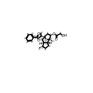 CC(C)[C@@]12C[C@@H](OC(=O)CO)[C@@](C)(O1)[C@@H]1CC[C@@H](C)[C@H]1[C@@H]2OC(=O)c1ccccc1